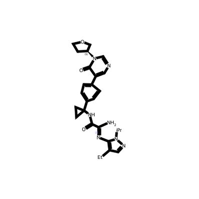 CCc1cnn(C(C)C)c1/N=C(\N)C(=O)NC1(c2ccc(-c3cncn([C@H]4CCOC4)c3=O)cc2)CC1